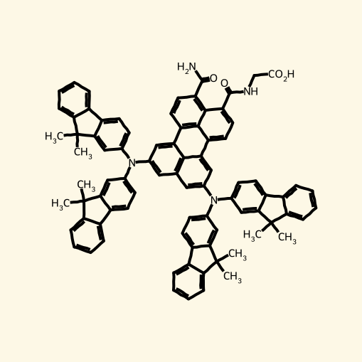 CC1(C)c2ccccc2-c2ccc(N(c3ccc4c(c3)C(C)(C)c3ccccc3-4)c3cc4cc(N(c5ccc6c(c5)C(C)(C)c5ccccc5-6)c5ccc6c(c5)C(C)(C)c5ccccc5-6)cc5c6ccc(C(=O)NCC(=O)O)c7c(C(N)=O)ccc(c(c3)c45)c76)cc21